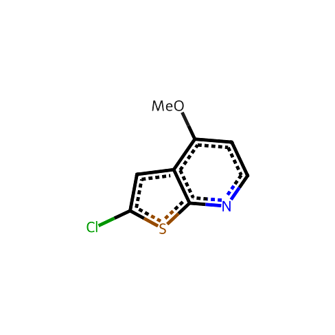 COc1ccnc2sc(Cl)cc12